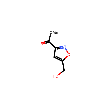 COC(=O)c1cc(CO)on1